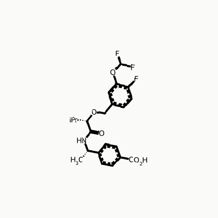 CC(C)[C@H](OCc1ccc(F)c(OC(F)F)c1)C(=O)N[C@@H](C)c1ccc(C(=O)O)cc1